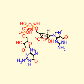 CO[C@]12O[C@@]3(O)C(N4CN(C)c5c4nc(N)[nH]c5=O)[C@@H]3C1C2COP(=O)(O)OP(=O)(O)OP(=O)(O)OCC1OC(n2cnc3c(=O)[nH]c(N)nc32)C(O)C1O